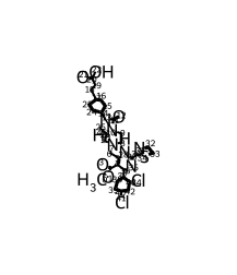 COC(=O)C1=C(CN2CCN3C(=O)N(c4ccc(CCC(=O)O)cc4)C[C@@H]3C2)NC(c2nccs2)=NC1c1ccc(Cl)cc1Cl